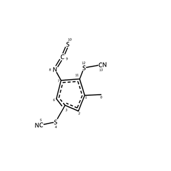 Cc1cc(SC#N)cc(N=C=S)c1SC#N